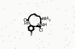 N[C@H]1C/C=C/CCC(=O)Nc2ccc(F)cc2-c2nc1[nH]c2Cl